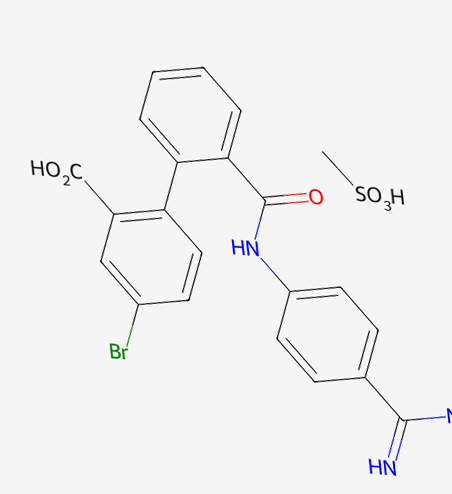 CS(=O)(=O)O.N=C(N)c1ccc(NC(=O)c2ccccc2-c2ccc(Br)cc2C(=O)O)cc1